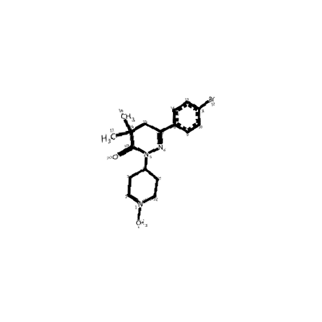 CN1CCC(N2N=C(c3ccc(Br)cc3)CC(C)(C)C2=O)CC1